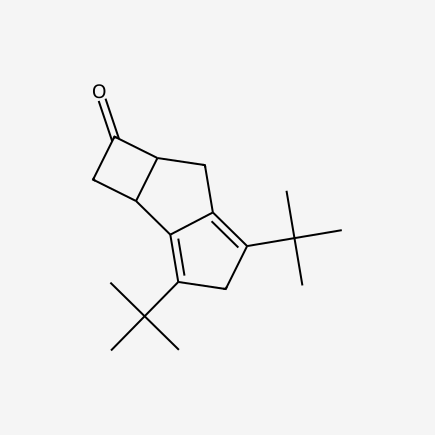 CC(C)(C)C1=C2CC3C(=O)CC3C2=C(C(C)(C)C)C1